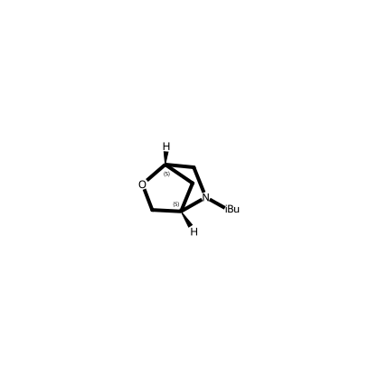 CCC(C)N1C[C@@H]2C[C@H]1CO2